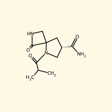 CC(C)C(=O)N1C[C@@H](C(N)=O)CC12CNC2=O